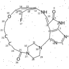 O=C1Nc2ncnc3c2/C1=C/Nc1ccc(c(F)c1)OCCCCCC(=O)N1CCN3CC1